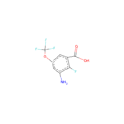 Nc1cc(OC(F)(F)F)cc(C(=O)O)c1F